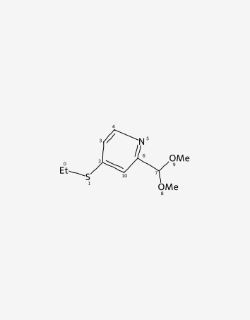 CCSc1ccnc(C(OC)OC)c1